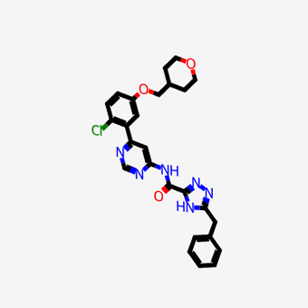 O=C(Nc1cc(-c2cc(OCC3CCOCC3)ccc2Cl)ncn1)c1nnc(Cc2ccccc2)[nH]1